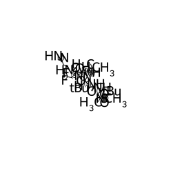 CN(C[C@@H](NC(=O)N[C@H](C(=O)N1C[C@H]2[C@@H]([C@H]1C(=O)N[C@@H](CC(F)F)C(=O)NCCc1c[nH]cn1)C2(C)C)C(C)(C)C)C(C)(C)C)S(C)(=O)=O